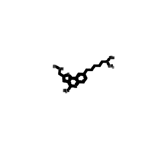 CCNCc1cc2c(N)nc3ccc(CCCCCN(C)C(C)(C)C)cc3c2s1